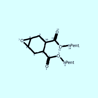 CCCCCOC(=O)C1CC2OC2CC1C(=O)OCCCCC